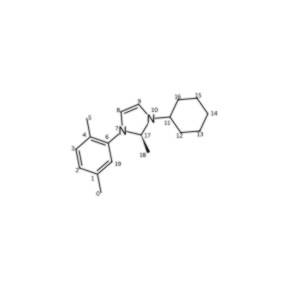 Cc1ccc(C)c(N2C=CN(C3CCCCC3)[C@H]2C)c1